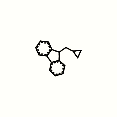 c1ccc2c(c1)-c1ccccc1C2C[C]1CC1